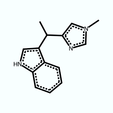 C[C](c1cn(C)cn1)c1c[nH]c2ccccc12